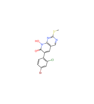 CSc1ncc2cc(-c3ccc(Br)cc3Cl)c(=O)n(O)c2n1